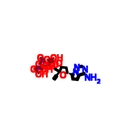 C#C[C@]1(COP(=O)(O)OP(=O)(O)OP(=O)(O)O)O[C@@H](c2ccc3c(N)ncnn23)C[C@@H]1O